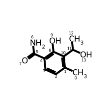 Cc1ccc(C(N)=O)c(O)c1C(C)O